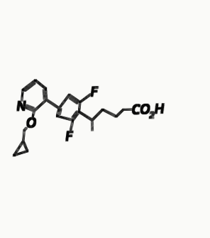 CC(CCCC(=O)O)c1c(F)cc(-c2cccnc2OCC2CC2)cc1F